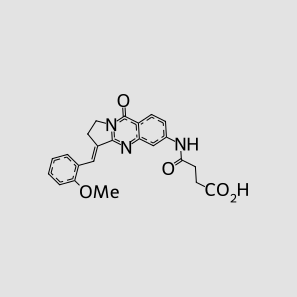 COc1ccccc1C=C1CCn2c1nc1cc(NC(=O)CCC(=O)O)ccc1c2=O